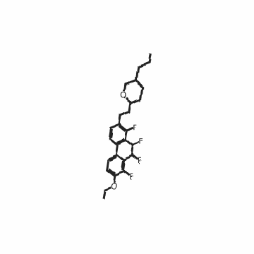 CCCC1CCC(CCc2ccc3c(c2F)C(F)C(F)c2c-3ccc(OCC)c2F)OC1